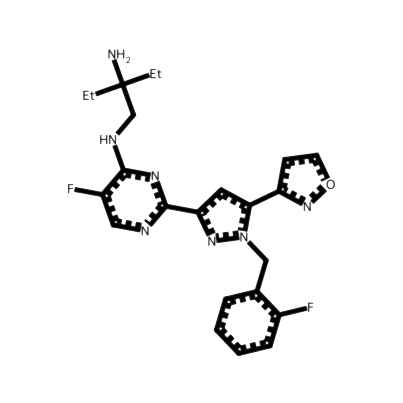 CCC(N)(CC)CNc1nc(-c2cc(-c3ccon3)n(Cc3ccccc3F)n2)ncc1F